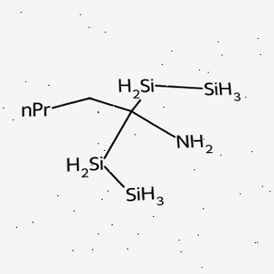 CCCCC(N)([SiH2][SiH3])[SiH2][SiH3]